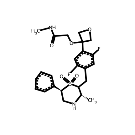 CNC(=O)COC1(c2cc(F)c(CC3[C@H](C)NC[C@@H](c4ccccc4)S3(=O)=O)cc2F)COC1